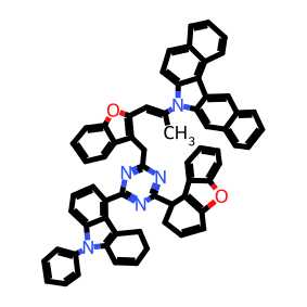 C/C(=C\c1oc2ccccc2c1Cc1nc(-c2cccc3c2c2c(n3-c3ccccc3)C=CCC2)nc(C2CC=Cc3oc4ccccc4c32)n1)n1c2cc3ccccc3cc2c2c3ccccc3ccc21